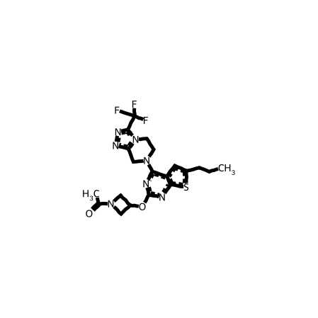 CCCc1cc2c(N3CCn4c(nnc4C(F)(F)F)C3)nc(OC3CN(C(C)=O)C3)nc2s1